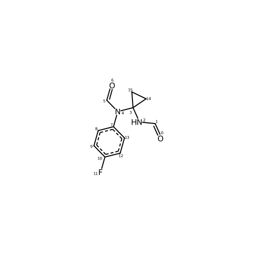 O=CNC1(N(C=O)c2ccc(F)cc2)CC1